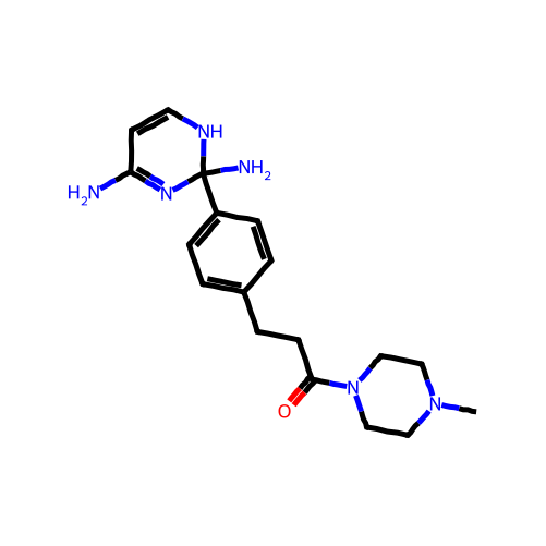 CN1CCN(C(=O)CCc2ccc(C3(N)N=C(N)C=CN3)cc2)CC1